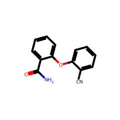 N#Cc1ccccc1Oc1ccccc1C(N)=O